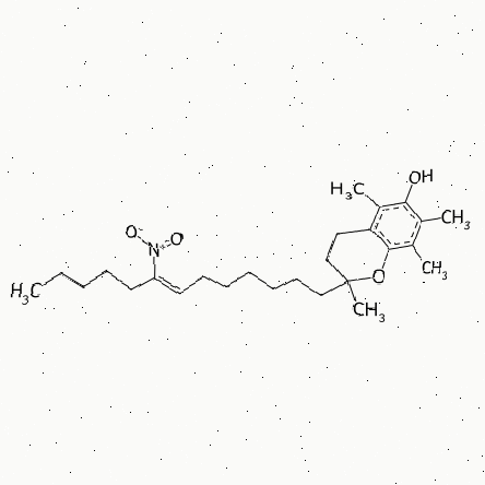 CCCCCC(=CCCCCCCC1(C)CCc2c(C)c(O)c(C)c(C)c2O1)[N+](=O)[O-]